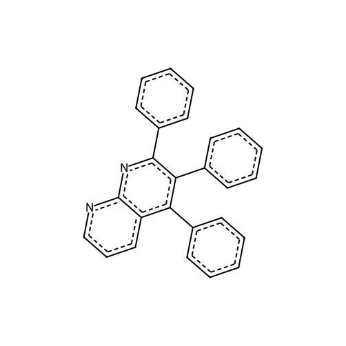 c1ccc(-c2nc3ncccc3c(-c3ccccc3)c2-c2ccccc2)cc1